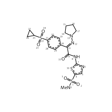 CNS(=O)(=O)c1cnc(NC(=O)/C(=N/N2CCCC2)c2ccc(S(=O)(=O)C3CC3)cc2)s1